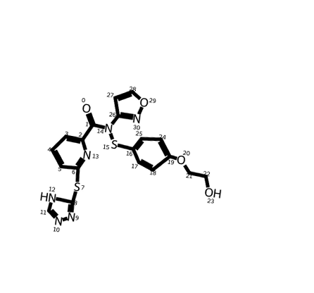 O=C(c1cccc(Sc2nnc[nH]2)n1)N(Sc1ccc(OCCO)cc1)c1ccon1